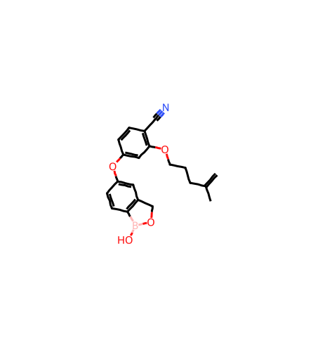 C=C(C)CCCOc1cc(Oc2ccc3c(c2)COB3O)ccc1C#N